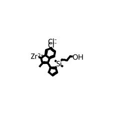 CC1=C(C2=C([Si](C)(C)CCCO)C=CC2)c2ccccc2[CH]1[Zr+2].[Cl-].[Cl-]